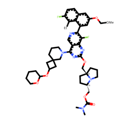 CCc1c(F)ccc2cc(OCOC)cc(-c3ncc4c(N5CCCC6(CC(OC7CCCCO7)C6)C5)nc(OC[C@@]56CCCN5[C@H](COC(=O)N(C)C)CC6)nc4c3F)c12